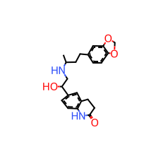 CC(CCc1ccc2c(c1)OCO2)NCC(O)c1ccc2c(c1)CCC(=O)N2